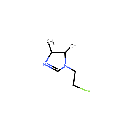 CC1N=CN(CCF)C1C